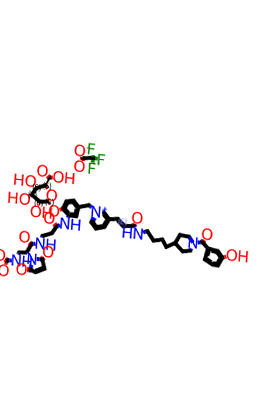 CC(C)(C)OC(=O)NCC(C(=O)NCCC(=O)Nc1cc(C[n+]2cccc(/C=C/C(=O)NCCCCC3CCN(C(=O)c4cccc(O)c4)CC3)c2)ccc1O[C@@H]1O[C@H](C(=O)O)[C@@H](O)[C@H](O)[C@H]1O)N1C(=O)C=CC1=O.O=C([O-])C(F)(F)F